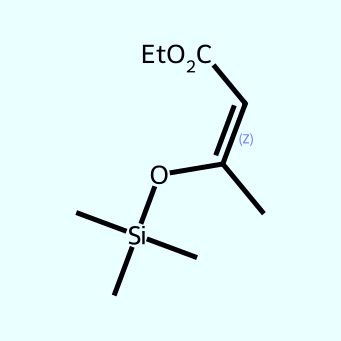 CCOC(=O)/C=C(/C)O[Si](C)(C)C